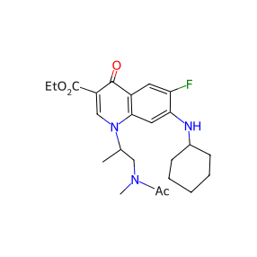 CCOC(=O)c1cn(C(C)CN(C)C(C)=O)c2cc(NC3CCCCC3)c(F)cc2c1=O